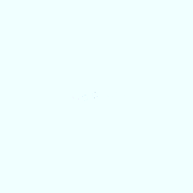 C=CCCOCc1ccc(-c2ccc(CCC=CC3CCC(C=CC)CC3)cc2)cc1